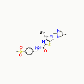 Cc1cnc(CN2Cc3sc(C(=O)NCc4ccc(S(C)(=O)=O)cc4)nc3[C@@H]2C(C)C)nc1